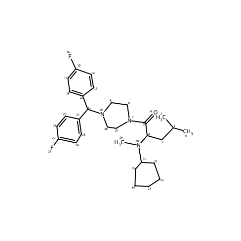 CC(C)CC(C(=O)N1CCN(C(c2ccc(F)cc2)c2ccc(F)cc2)CC1)N(C)C1CCCCC1